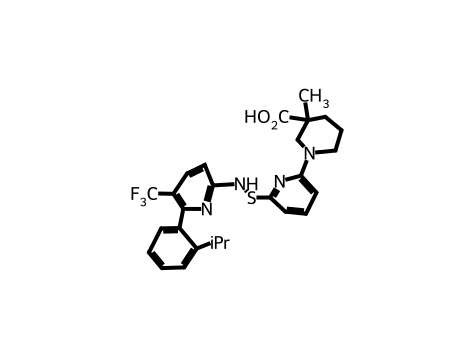 CC(C)c1ccccc1-c1nc(NSc2cccc(N3CCCC(C)(C(=O)O)C3)n2)ccc1C(F)(F)F